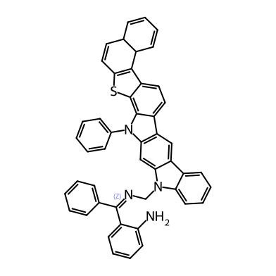 Nc1ccccc1/C(=N\Cn1c2ccccc2c2cc3c4ccc5c6c(sc5c4n(-c4ccccc4)c3cc21)C=CC1C=CC=CC61)c1ccccc1